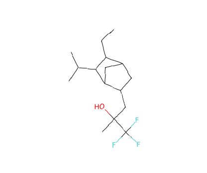 CCC1C2CC(CC(C)(O)C(F)(F)F)C(C2)C1C(C)C